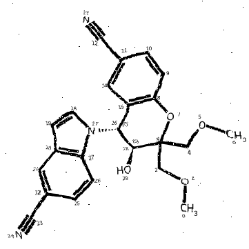 COCC1(COC)Oc2ccc(C#N)cc2[C@@H](n2ccc3cc(C#N)ccc32)[C@@H]1O